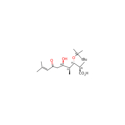 CC(C)=CC(=O)C[C@@H](O)[C@H](C)[C@H](O[Si](C)(C)C(C)(C)C)[C@@H](C)C(=O)O